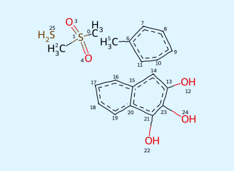 CS(C)(=O)=O.Cc1ccccc1.Oc1cc2ccccc2c(O)c1O.S